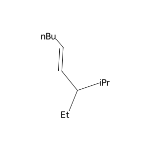 CCCCC=CC(CC)C(C)C